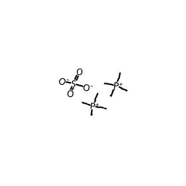 C[P+](C)(C)C.C[P+](C)(C)C.O=S(=O)([O-])[O-]